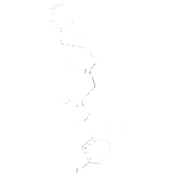 O=C(O)c1ccc(F)cc1OC[C@H](O)CN1CCC2(CC1)Cc1ccccc1O2